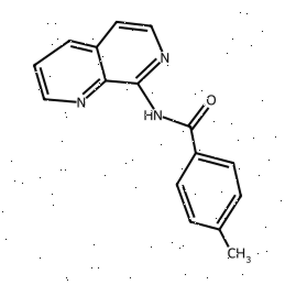 Cc1ccc(C(=O)Nc2nccc3cccnc23)cc1